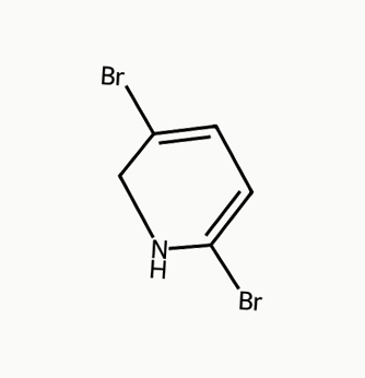 BrC1=CC=C(Br)NC1